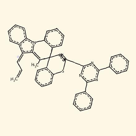 C=C/C=c1\c2n(c3ccccc13)-c1ccccc1C1(C=2C)c2ccccc2Sc2c(-c3nc(-c4ccccc4)nc(-c4ccccc4)n3)cccc21